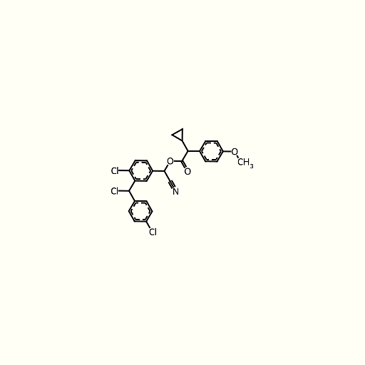 COc1ccc(C(C(=O)OC(C#N)c2ccc(Cl)c(C(Cl)c3ccc(Cl)cc3)c2)C2CC2)cc1